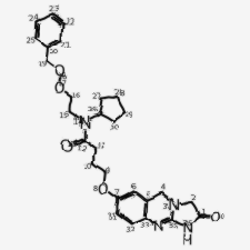 O=C1CN2Cc3cc(OCCCC(=O)N(CCOOCc4ccccc4)C4CCCC4)ccc3N=C2N1